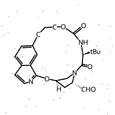 CC(C)(C)[C@@H]1NC(=O)OCCCc2ccc3ccnc(c3c2)O[C@@H]2C[C@@H](C=O)N(C2)C1=O